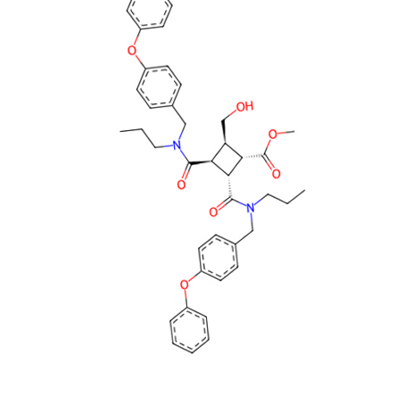 CCCN(Cc1ccc(Oc2ccccc2)cc1)C(=O)[C@H]1[C@@H](C(=O)OC)[C@H](CO)[C@@H]1C(=O)N(CCC)Cc1ccc(Oc2ccccc2)cc1